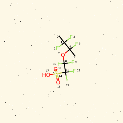 CC(F)(F)C(C)(F)OC(F)(F)C(F)(F)S(=O)(=O)O